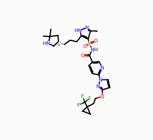 Cc1n[nH]c(CCC[C@@H]2CNC(C)(C)C2)c1S(=O)(=O)NC(=O)c1ccc(-n2ccc(OCCC3(C(F)(F)F)CC3)n2)nc1